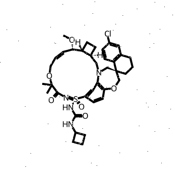 CO[C@H]1C=CCOC(C)(C)C(=O)N=[S@](=O)(NC(=O)NC2CCC2)c2ccc3c(c2)N(C[C@@H]2CC[C@H]21)C[C@@]1(CCCc2cc(Cl)ccc21)CO3